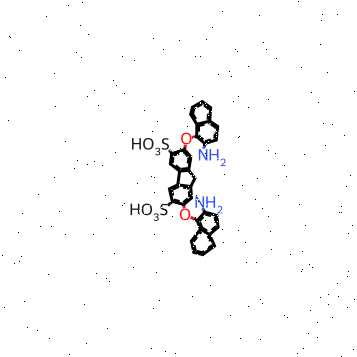 Nc1ccc2ccccc2c1Oc1cc2c(cc1S(=O)(=O)O)-c1cc(S(=O)(=O)O)c(Oc3c(N)ccc4ccccc34)cc1C2